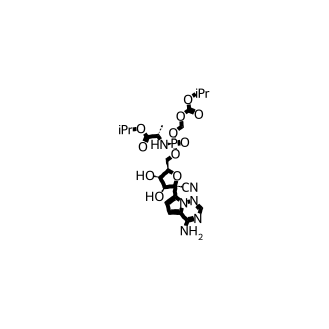 CC(C)OC(=O)OCO[P@@](=O)(N[C@@H](C)C(=O)OC(C)C)OC[C@H]1O[C@@](C#N)(c2ccc3c(N)ncnn23)[C@H](O)[C@@H]1O